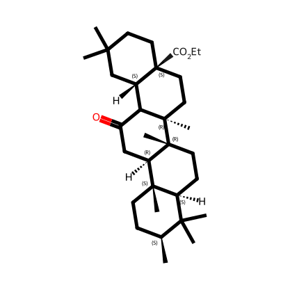 CCOC(=O)[C@]12CCC(C)(C)C[C@H]1C1C(=O)C[C@@H]3[C@@]4(C)CC[C@H](C)C(C)(C)[C@@H]4CC[C@@]3(C)[C@]1(C)CC2